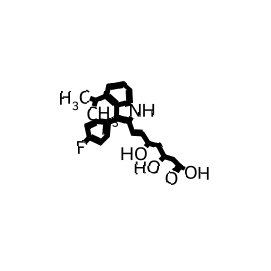 CC(C)c1cccc2[nH]c(C=CC(O)CC(O)CC(=O)O)c(-c3ccc(F)cc3)c12